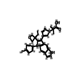 CCC1(c2c(-c3cnn(C(C)(C)C(=O)O)c3)c3cc4[nH]ncc4cc3n2-c2ccc(F)cc2)COC1